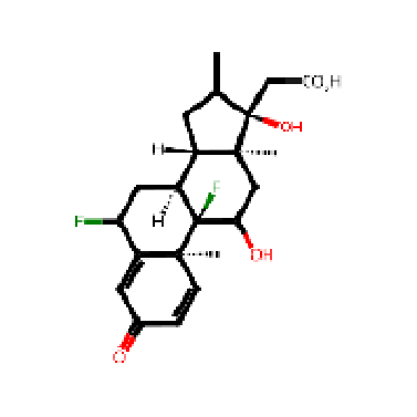 CC1C[C@H]2[C@@H]3CC(F)C4=CC(=O)C=C[C@]4(C)[C@@]3(F)C(O)C[C@]2(C)[C@@]1(O)CC(=O)O